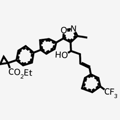 CCOC(=O)C1(c2ccc(-c3ccc(-c4onc(C)c4C(O)C/C=C/c4cccc(C(F)(F)F)c4)cc3)cc2)CC1